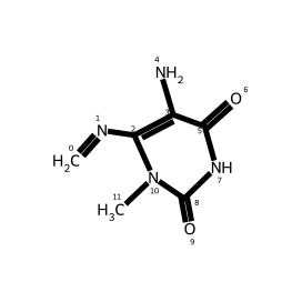 C=Nc1c(N)c(=O)[nH]c(=O)n1C